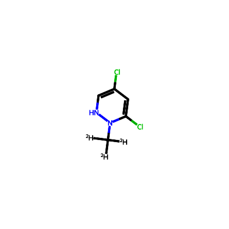 [2H]C([2H])([2H])N1NC=C(Cl)C=C1Cl